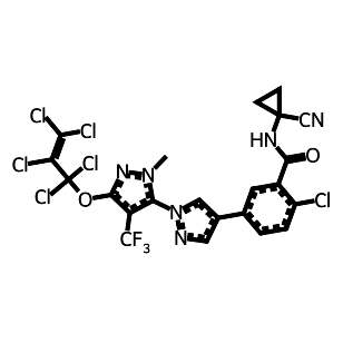 Cn1nc(OC(Cl)(Cl)C(Cl)=C(Cl)Cl)c(C(F)(F)F)c1-n1cc(-c2ccc(Cl)c(C(=O)NC3(C#N)CC3)c2)cn1